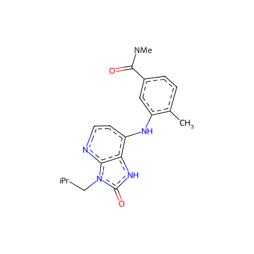 CNC(=O)c1ccc(C)c(Nc2ccnc3c2[nH]c(=O)n3CC(C)C)c1